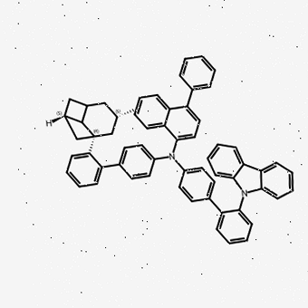 C[C@H]1CC2C[C@H]3C[C@](c4ccccc4-c4ccc(N(c5ccc(-c6ccccc6-n6c7ccccc7c7ccccc76)cc5)c5ccc(-c6ccccc6)c6ccccc56)cc4)(C1)C23